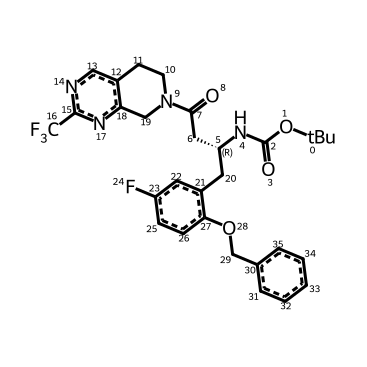 CC(C)(C)OC(=O)N[C@@H](CC(=O)N1CCc2cnc(C(F)(F)F)nc2C1)Cc1cc(F)ccc1OCc1ccccc1